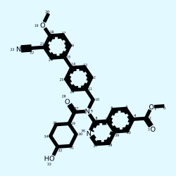 COC(=O)c1ccc2c(N(Cc3ccc(-c4ccc(OC)c(C#N)c4)cc3)C(=O)C3CCC(O)CC3)nccc2c1